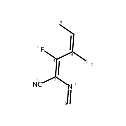 C=N/C(C#N)=C(F)\C(I)=C/C